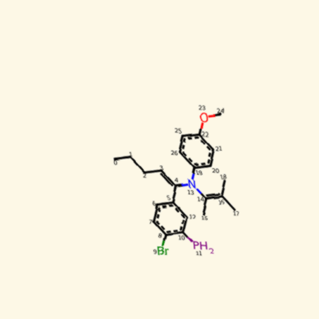 CCC/C=C(\c1ccc(Br)c(P)c1)N(C(C)=C(C)C)c1ccc(OC)cc1